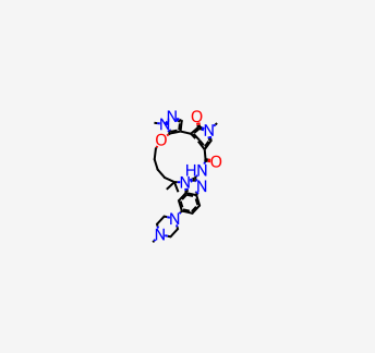 CN1CCN(c2ccc3nc4n(c3c2)C(C)(C)CCCCOc2c(cnn2C)-c2cc(cn(C)c2=O)C(=O)N4)CC1